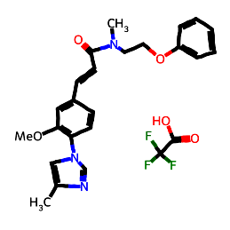 COc1cc(C=CC(=O)N(C)CCOc2ccccc2)ccc1-n1cnc(C)c1.O=C(O)C(F)(F)F